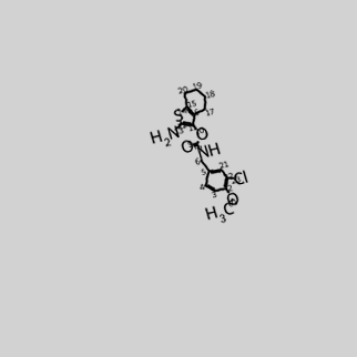 COc1ccc(CNC(=O)Oc2c(N)sc3c2CCCC3)cc1Cl